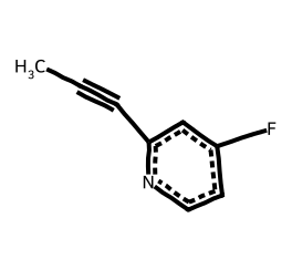 CC#Cc1cc(F)ccn1